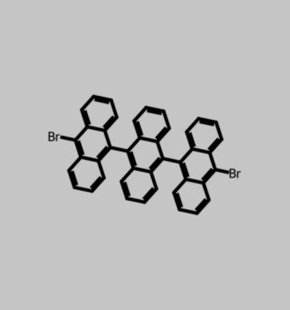 Brc1c2ccccc2c(-c2c3ccccc3c(-c3c4ccccc4c(Br)c4ccccc34)c3ccccc23)c2ccccc12